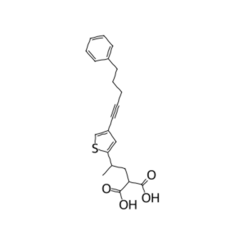 CC(CC(C(=O)O)C(=O)O)c1cc(C#CCCCc2ccccc2)cs1